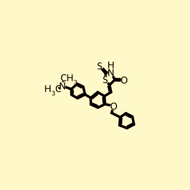 CN(C)c1ccc(-c2ccc(OCc3ccccc3)c(C=C3SC(=S)NC3=O)c2)cc1